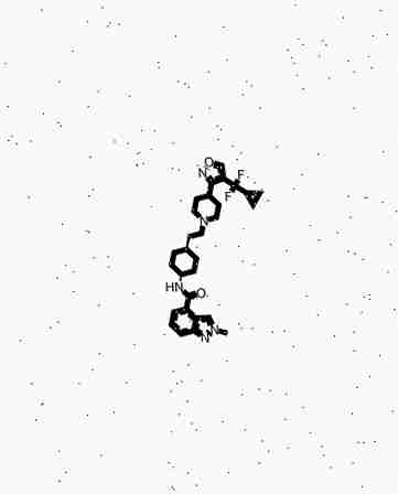 Cn1cc2c(C(=O)N[C@H]3CC[C@H](CCN4CCC(c5nocc5C(F)(F)C5CC5)CC4)CC3)cccc2n1